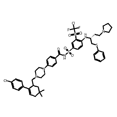 CC1(C)CC=C(c2ccc(Cl)cc2)C(CN2CCN(c3ccc(C(=O)NS(=O)(=O)c4ccc(N[C@H](CCN5CCCC5)CSc5ccccc5)c(S(=O)(=O)C(F)(F)Cl)c4)cc3)CC2)C1